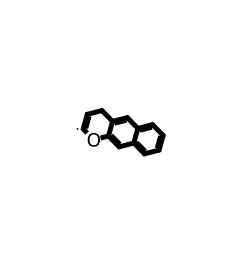 [C]1=CCc2cc3ccccc3cc2O1